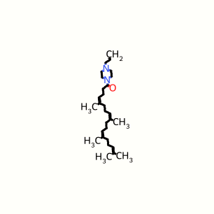 C=CCN1CCN(C(=O)CCC=C(C)CCC=C(C)CCC=C(C)CCC=C(C)C)CC1